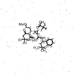 CCC1(CC)CC(=O)N(C(CCOC)[C@@H]2C[C@H]2C(=O)N[C@@H]2CC(C)(C)Oc3ccccc32)C(=N)N1.O=C(O)C(F)(F)F